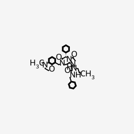 CCCN(C(=O)NCc1ccccc1)N1CC(=O)N2[C@@H](c3ccccc3)C(=O)N(Cc3cccc4c3OCCN4C)C[C@@H]21